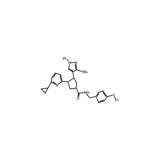 CCSc1ccc(CNC(=O)N2CC(c3cccc(C4CC4)n3)C(c3cn(C(C)C)nc3C(C)(C)C)C2)cc1